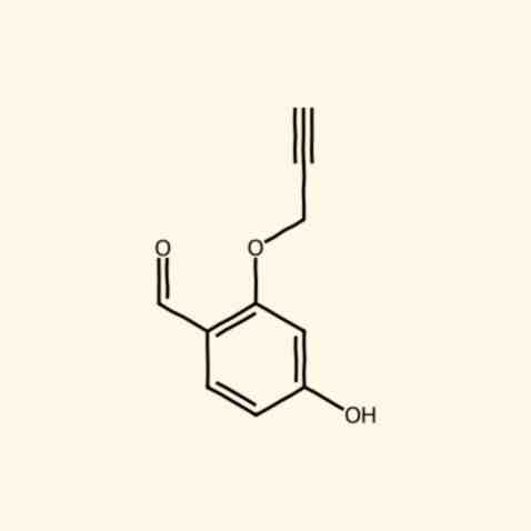 C#CCOc1cc(O)ccc1C=O